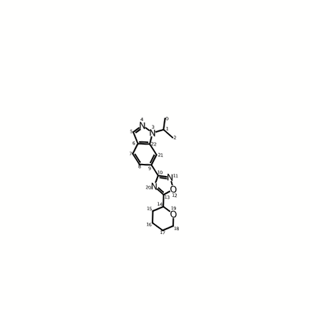 CC(C)n1ncc2ccc(-c3noc(C4CCCCO4)n3)cc21